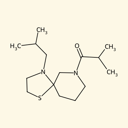 CC(C)CN1CCSC12CCCN(C(=O)C(C)C)C2